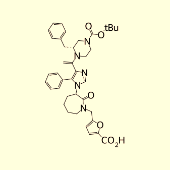 C=C(c1ncn(C2CCCCN(Cc3ccc(C(=O)O)o3)C2=O)c1-c1ccccc1)N1CCN(C(=O)OC(C)(C)C)C[C@H]1Cc1ccccc1